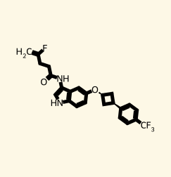 C=C(F)CCC(=O)Nc1c[nH]c2ccc(O[C@H]3C[C@H](c4ccc(C(F)(F)F)cc4)C3)cc12